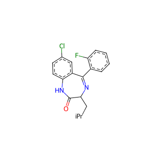 CC(C)CC1N=C(c2ccccc2F)c2cc(Cl)ccc2NC1=O